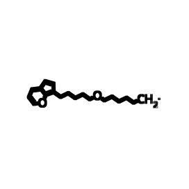 [CH2]CCCCCOCCCCCc1ccc2cccoc1-2